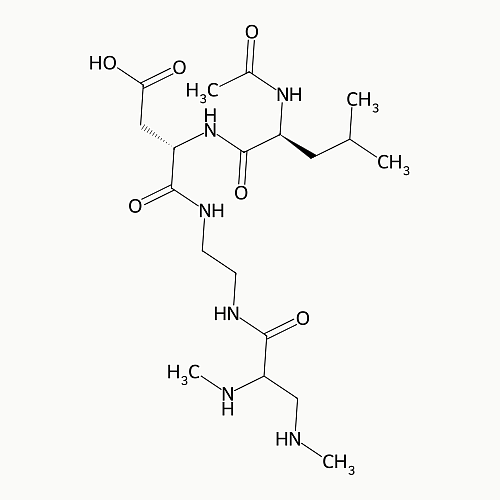 CNCC(NC)C(=O)NCCNC(=O)[C@H](CC(=O)O)NC(=O)[C@H](CC(C)C)NC(C)=O